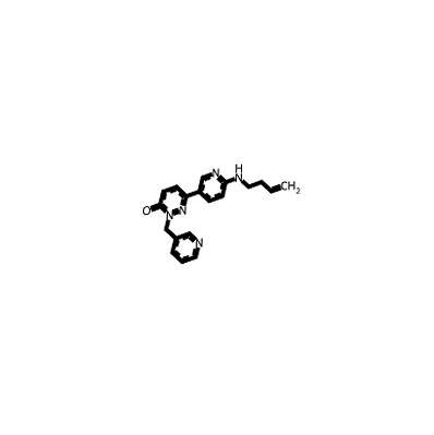 C=CCCNc1ccc(-c2ccc(=O)n(Cc3cccnc3)n2)cn1